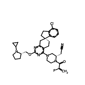 C=C(F)C(=O)N1CCN(c2nc(OC[C@@H]3CCCN3C3CC3)nc3c2CC[C@@]2(CCc4c(Cl)cccc42)C3)C[C@@H]1CC#N